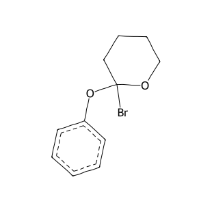 BrC1(Oc2ccccc2)CCCCO1